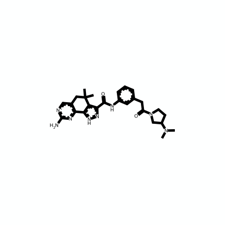 CN(C)C1CCN(C(=O)Cc2cccc(NC(=O)c3n[nH]c4c3C(C)(C)Cc3cnc(N)nc3-4)c2)C1